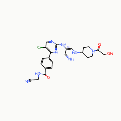 N#CCNC(=O)c1ccc(-c2nc(N/C(C=N)=C/NC3CCN(C(=O)CO)CC3)ncc2Cl)cc1